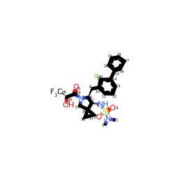 CN(C)S(=O)(=O)N[C@@H]1[C@H](Cc2cccc(-c3ccccc3)c2F)N(C(=O)[C@H](O)C(F)(F)F)CC12CC2